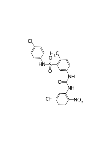 Cc1ccc(NC(=O)Nc2cc(Cl)ccc2[N+](=O)[O-])cc1S(=O)(=O)Nc1ccc(Cl)cc1